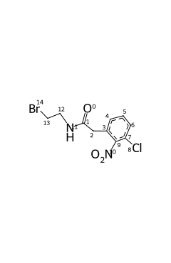 O=C(Cc1cccc(Cl)c1[N+](=O)[O-])NCCBr